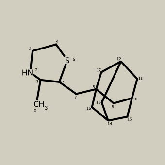 CC1NCCSC1CC12CC3CC(CC(C3)C1)C2